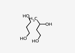 CC(O)CCO.OCCCO